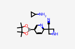 CC1(C)OB(c2ccc(C3(C#N)CNC3)nc2)OC1(C)C.NC1CC1